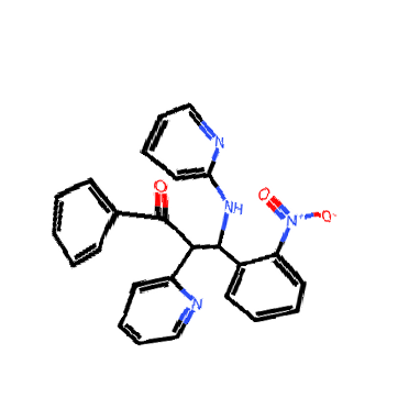 O=C(c1ccccc1)C(c1ccccn1)C(Nc1ccccn1)c1ccccc1[N+](=O)[O-]